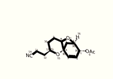 CC(=O)O[C@@H]1C=C[C@]23C[C@H]1OC2CC[C@H](CCC#N)O3